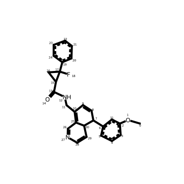 COc1cccc(C2C=CC(CNC(=O)C3CC3(F)c3ccccc3)=C3C=NC=CC32)c1